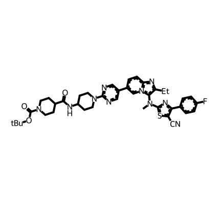 CCc1nc2ccc(-c3cnc(N4CCC(NC(=O)C5CCN(C(=O)OC(C)(C)C)CC5)CC4)nc3)cn2c1N(C)c1nc(-c2ccc(F)cc2)c(C#N)s1